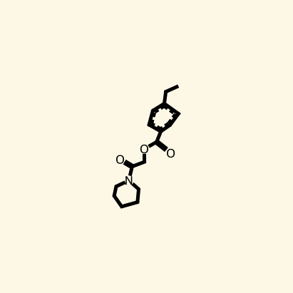 CCc1ccc(C(=O)OCC(=O)N2CCCCC2)cc1